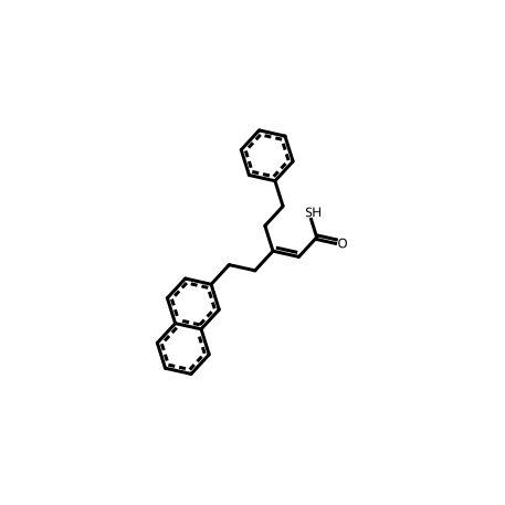 O=C(S)/C=C(\CCc1ccccc1)CCc1ccc2ccccc2c1